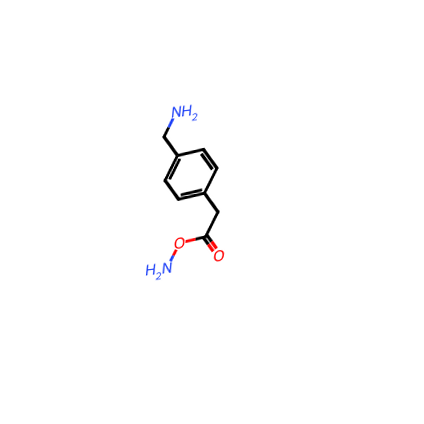 NCc1ccc(CC(=O)ON)cc1